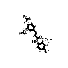 O=C(/C=C/c1ccc(OC(F)F)c(OC(F)F)c1)Nc1ccc(Br)cc1C(=O)O